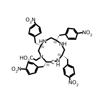 O=C(O)CN1C[C@H](Cc2ccc([N+](=O)[O-])cc2)NC[C@H](Cc2ccc([N+](=O)[O-])cc2)NC[C@H](Cc2ccc([N+](=O)[O-])cc2)NC[C@@H]1Cc1ccc([N+](=O)[O-])cc1